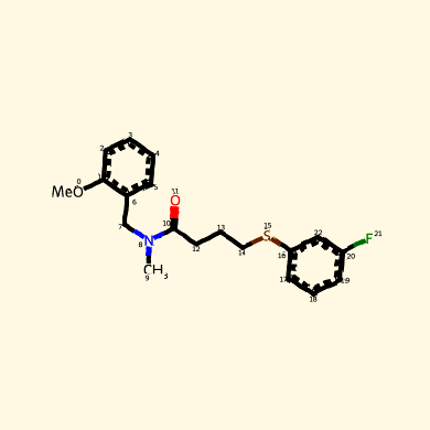 COc1ccccc1CN(C)C(=O)CCCSc1cccc(F)c1